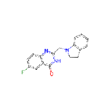 O=c1[nH]c(CN2CCc3ccccc32)nc2ccc(F)cc12